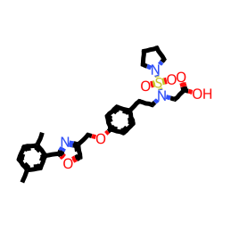 Cc1ccc(C)c(-c2nc(COc3ccc(CCN(CC(=O)O)S(=O)(=O)N4CCCC4)cc3)co2)c1